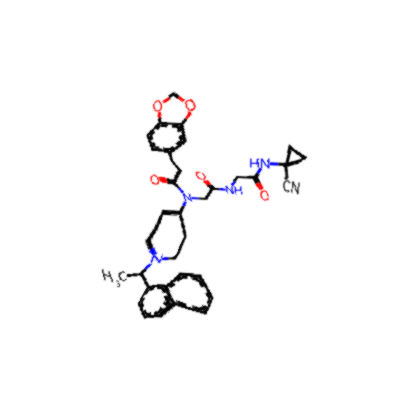 CC(c1cccc2ccccc12)N1CCC(N(CC(=O)NCC(=O)NC2(C#N)CC2)C(=O)Cc2ccc3c(c2)OCO3)CC1